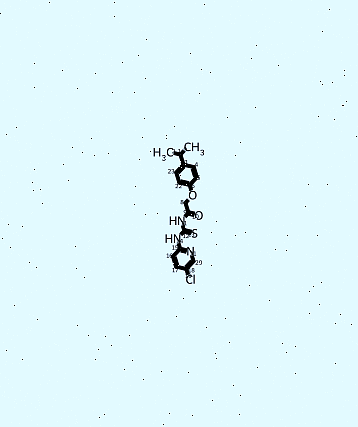 CC(C)c1ccc(OCC(=O)NC(=S)Nc2ccc(Cl)cn2)cc1